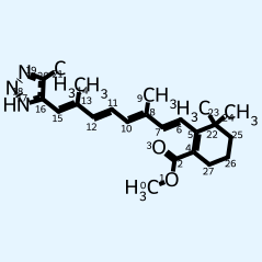 COC(=O)C1=C(/C=C/C(C)=C/C=C/C(C)=C/c2[nH]nnc2C)C(C)(C)CCC1